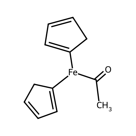 C[C](=O)[Fe]([C]1=CC=CC1)[C]1=CC=CC1